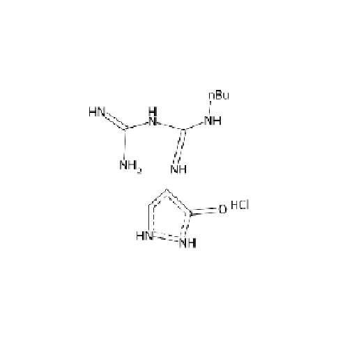 CCCCNC(=N)NC(=N)N.Cl.O=c1cc[nH][nH]1